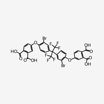 O=C(O)c1ccc(Oc2ccc(C(c3ccc(Oc4ccc(C(=O)O)c(C(=O)O)c4)c(Br)c3)(C(F)(F)F)C(F)(F)F)cc2Br)cc1C(=O)O